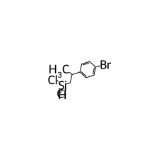 CC(C[SiH](Cl)Cl)c1ccc(Br)cc1